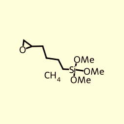 C.CO[Si](CCCCC1CO1)(OC)OC